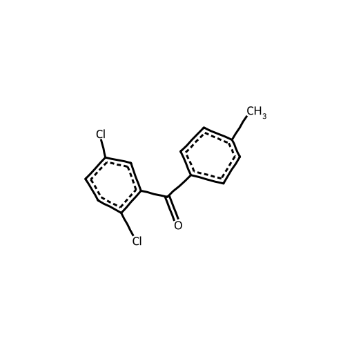 Cc1ccc(C(=O)c2cc(Cl)ccc2Cl)cc1